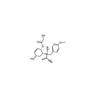 C#[N+]C(=C)C(Cc1ccc(OC)cc1)([N+]#C)[C@H]1C[C@@H](O)C=C[C@@H]1OC(=O)CO